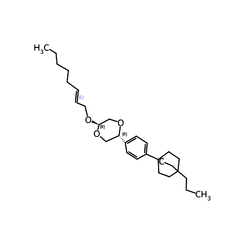 CCCCC/C=C/CO[C@H]1CO[C@H](c2ccc(C34CCC(CCC)(CC3)CC4)cc2)CO1